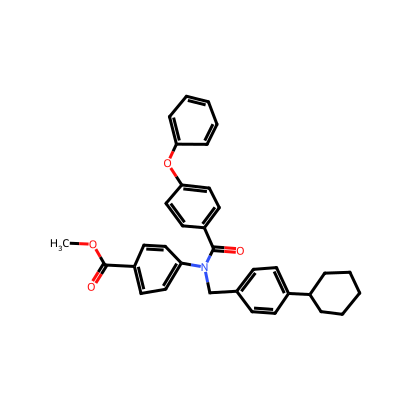 COC(=O)c1ccc(N(Cc2ccc(C3CCCCC3)cc2)C(=O)c2ccc(Oc3ccccc3)cc2)cc1